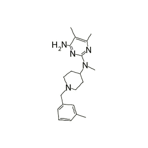 Cc1cccc(CN2CCC(N(C)c3nc(C)c(C)c(N)n3)CC2)c1